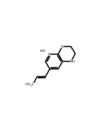 Cl.O=C(O)C=Cc1cnc2c(c1)NCCO2